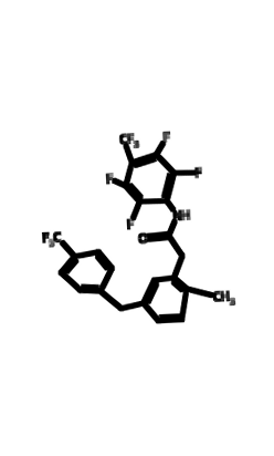 Cc1ccc(Cc2ccc(C(F)(F)F)cc2)cc1CC(=O)Nc1c(F)c(F)c(C(F)(F)F)c(F)c1F